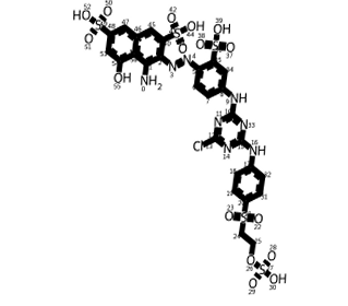 Nc1c(N=Nc2ccc(Nc3nc(Cl)nc(Nc4ccc(S(=O)(=O)CCOS(=O)(=O)O)cc4)n3)cc2S(=O)(=O)O)c(S(=O)(=O)O)cc2cc(S(=O)(=O)O)cc(O)c12